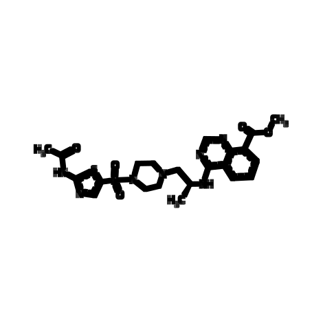 COC(=O)c1cccc2c(N[C@@H](C)CN3CCN(S(=O)(=O)c4cnc(NC(C)=O)s4)CC3)ncnc12